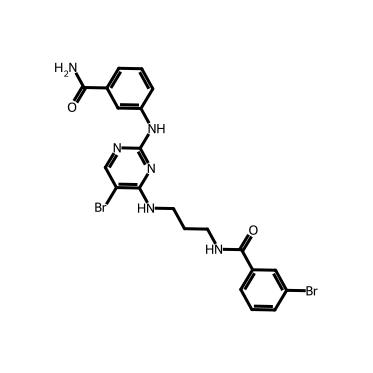 NC(=O)c1cccc(Nc2ncc(Br)c(NCCCNC(=O)c3cccc(Br)c3)n2)c1